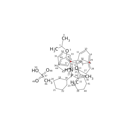 CC(C)OC1=C(c2ccccc2)C(OC(C)C)(P(C2CCCCC2)C2(C3(N)CC=CC=C3c3ccccc3)CCCCC2)CC=C1.CS(=O)(=O)O